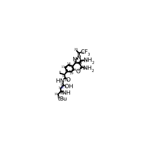 CC(C(=O)N/C(O)=C/C(=N)CC(C)(C)C)c1ccc(-c2nn(C(C)C(F)(F)F)c(N)c2C(N)=O)cc1